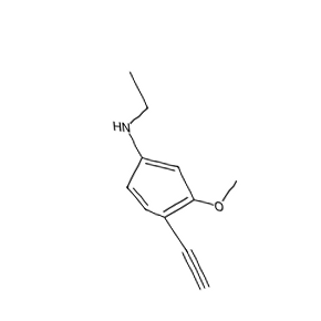 C#Cc1ccc(NCC)cc1OC